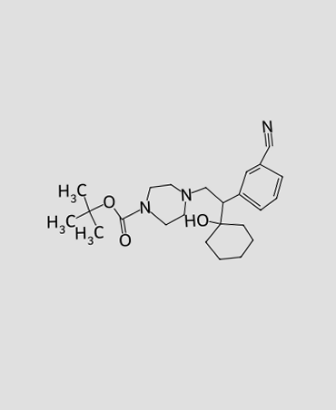 CC(C)(C)OC(=O)N1CCN(CC(c2cccc(C#N)c2)C2(O)CCCCC2)CC1